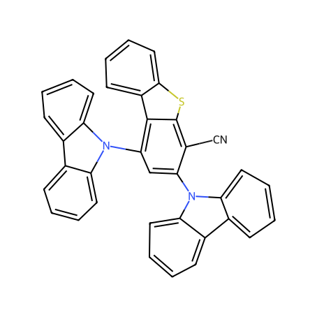 N#Cc1c(-n2c3ccccc3c3ccccc32)cc(-n2c3ccccc3c3ccccc32)c2c1sc1ccccc12